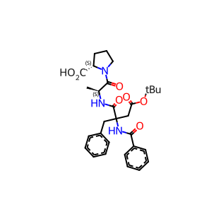 C[C@H](NC(=O)C(CC(=O)OC(C)(C)C)(Cc1ccccc1)NC(=O)c1ccccc1)C(=O)N1CCC[C@H]1C(=O)O